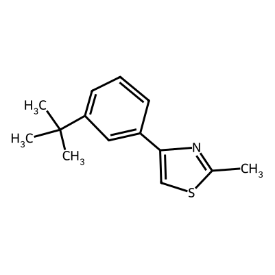 Cc1nc(-c2cccc(C(C)(C)C)c2)cs1